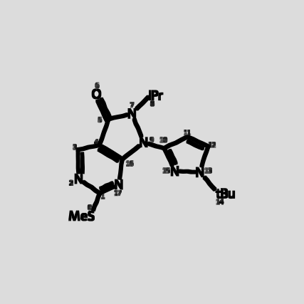 CSc1ncc2c(=O)n(C(C)C)n(-c3ccn(C(C)(C)C)n3)c2n1